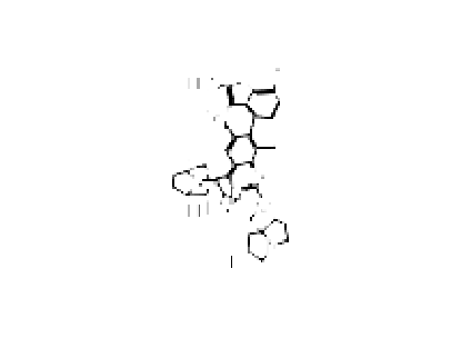 N#Cc1c(N)sc2c(F)ccc(-c3c(Cl)cc4c(N5C[C@H]6CC[C@@H](C5)N6CC5CN5)nc(OC[C@@]56CCCN5C[C@H](F)C6)nc4c3F)c12